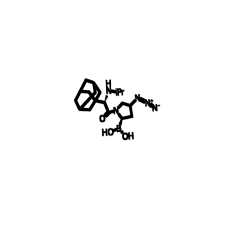 CC(C)N[C@H](C(=O)N1CC(N=[N+]=[N-])C[C@H]1B(O)O)C12CC3CC(CC(C3)C1)C2